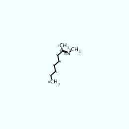 CCCCCCC(C)=NC